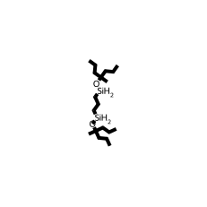 CCCC(C)(CCC)O[SiH2]CCC[SiH2]OC(C)(CCC)CCC